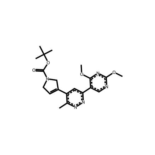 COc1ncc(-c2cc(C3=CCN(C(=O)OC(C)(C)C)C3)c(C)nn2)c(OC)n1